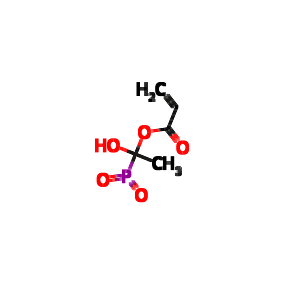 C=CC(=O)OC(C)(O)P(=O)=O